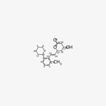 Cc1cccc(C2CCCCC2)c1C=CC1CC(O)CC(=O)O1